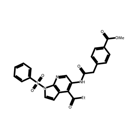 CCC(=O)c1c(NC(=O)Cc2ccc(C(=O)OC)cc2)cnc2c1ccn2S(=O)(=O)c1ccccc1